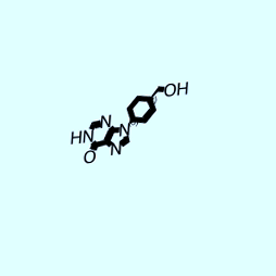 O=c1[nH]cnc2c1ncn2[C@@H]1C=C[C@H](CO)CC1